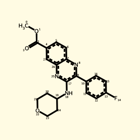 COC(=O)c1ccc2nc(-c3ccc(F)cc3)c(NC3CCOCC3)nc2c1